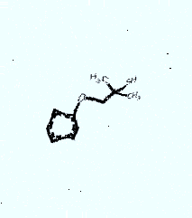 CC(C)(S)COc1ccccc1